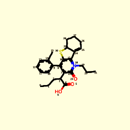 CCCC(C(=O)O)c1c(-c2ccccc2C)c2c(n(CCC)c1=O)C1=CCCCC1S2